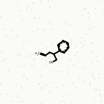 C=CCC(CN=O)c1ccccc1